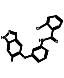 Cc1cc2[nH]ncc2cc1Sc1cccc(NC(=O)c2ccccc2Cl)c1